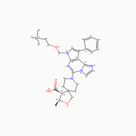 C[C@@H]1OCC2(CCN(c3nc4c(c(-c5ccccc5)cn4COCC[Si](C)(C)C)c4nccn34)CC2)[C@@H]1C(=O)O